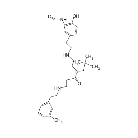 Cc1cccc(CCNCCC(=O)N(CCNCCc2ccc(O)c(NC=O)c2)CC(C)(C)C)c1